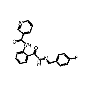 O=C(Nc1ccccc1C(=O)N/N=C/c1ccc(F)cc1)c1cccnc1